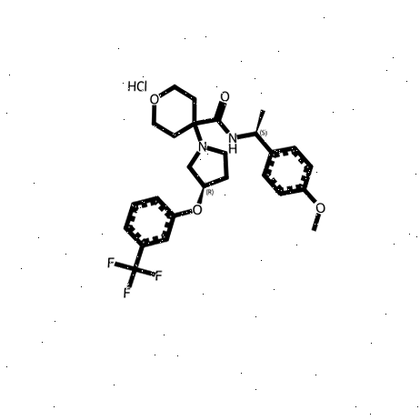 COc1ccc([C@H](C)NC(=O)C2(N3CC[C@@H](Oc4cccc(C(F)(F)F)c4)C3)CCOCC2)cc1.Cl